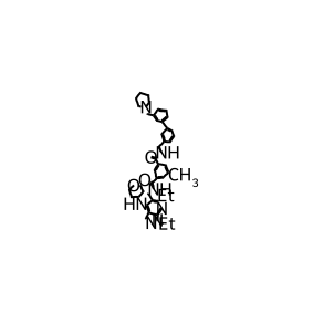 CCc1nc2c(cnn2CC)c(NC2CCOCC2)c1CNC(=O)c1cc(C)cc(C(=O)NCc2cccc(-c3cccc(CN4CCCCC4)c3)c2)c1